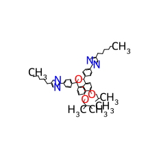 CCCCCCc1cnc(-c2ccc(C(OC(c3ccc(OCC(C)CC)cc3)c3ccc(-c4ncc(CCCCCC)cn4)cc3)c3ccc(OCC(C)CC)cc3)cc2)nc1